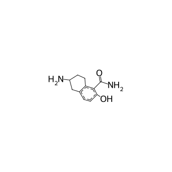 NC(=O)c1c(O)ccc2c1CCC(N)C2